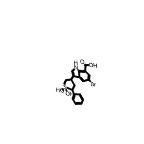 O=C(O)c1cc(Br)cc2c(C3CCS(O)(O)C(c4ccccc4)C3)c[nH]c12